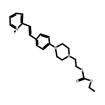 CCOC(=O)SCCN1CCN(c2ccc(/C=C/c3cccc[n+]3C)cc2)CC1